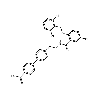 O=C(O)c1ccc(-c2ccc(CCNC(=O)c3cc(Cl)ccc3OCc3c(Cl)cccc3Cl)cc2)cc1